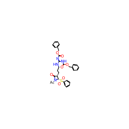 CC(=O)N1C(=O)[C@@H](CCCNC(=NC(=O)OCc2ccccc2)NC(=O)OCc2ccccc2)[C@@H]1S(=O)(=O)c1ccccc1